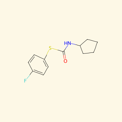 O=C(NC1CCCC1)Sc1ccc(F)cc1